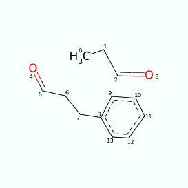 CCC=O.O=CCCc1ccccc1